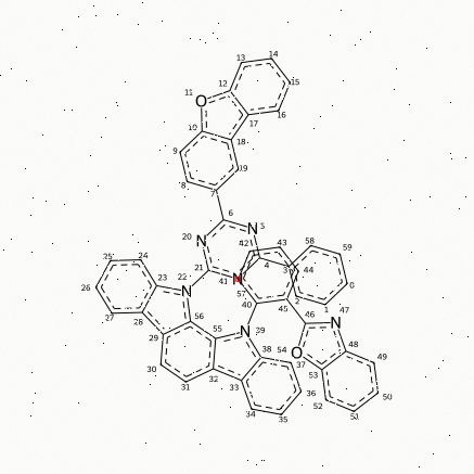 c1ccc(-c2nc(-c3ccc4oc5ccccc5c4c3)nc(-n3c4ccccc4c4ccc5c6ccccc6n(-c6ccccc6-c6nc7ccccc7o6)c5c43)n2)cc1